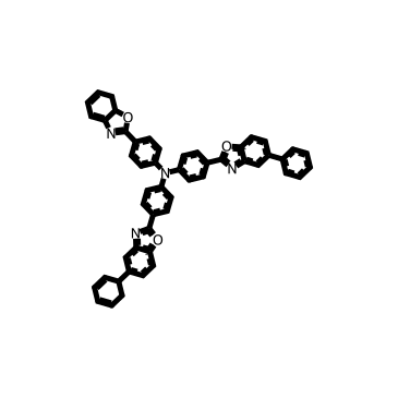 C1=CCC2OC(c3ccc(N(c4ccc(-c5nc6cc(-c7ccccc7)ccc6o5)cc4)c4ccc(-c5nc6cc(C7C=CC=CC7)ccc6o5)cc4)cc3)=NC2=C1